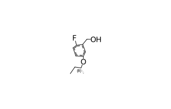 CC[C@@H](C)Oc1ccc(F)c(CO)c1